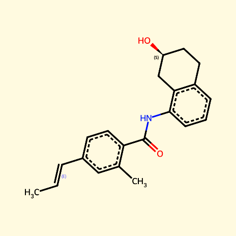 C/C=C/c1ccc(C(=O)Nc2cccc3c2C[C@@H](O)CC3)c(C)c1